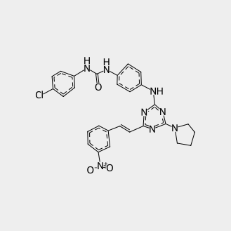 O=C(Nc1ccc(Cl)cc1)Nc1ccc(Nc2nc(C=Cc3cccc([N+](=O)[O-])c3)nc(N3CCCC3)n2)cc1